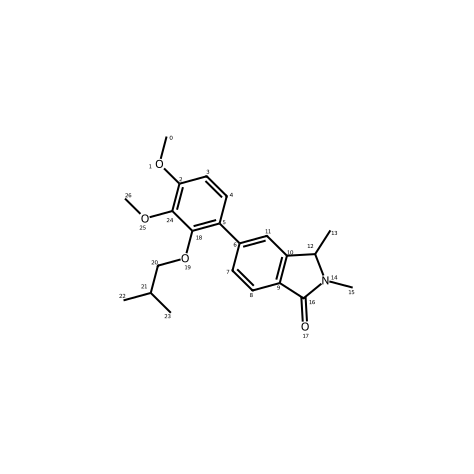 COc1ccc(-c2ccc3c(c2)C(C)N(C)C3=O)c(OCC(C)C)c1OC